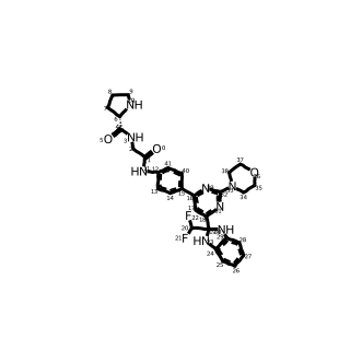 O=C(CNC(=O)[C@@H]1CCCN1)Nc1ccc(-c2cc(C3(C(F)F)Nc4ccccc4N3)nc(N3CCOCC3)n2)cc1